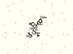 COc1ccc2[nH]c(C(=O)N3CCC4(CC4)C[C@H]3C(=O)N[C@@H](CC[C@@H]3CCNC3=O)C(=O)C(=O)NC3CC3)cc2c1